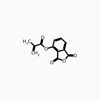 C=C(C)C(=O)Oc1cccc2c1C(=O)OC2=O